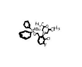 CC1CN(c2c(CO[Si](c3ccccc3)(c3ccccc3)C(C)(C)C)ccc(F)c2Cl)CC(C)O1